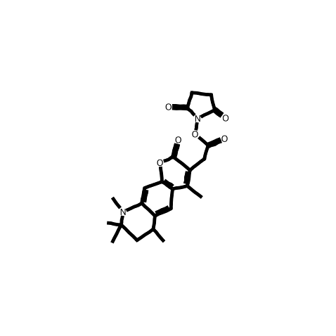 Cc1c(CC(=O)ON2C(=O)CCC2=O)c(=O)oc2cc3c(cc12)C(C)CC(C)(C)N3C